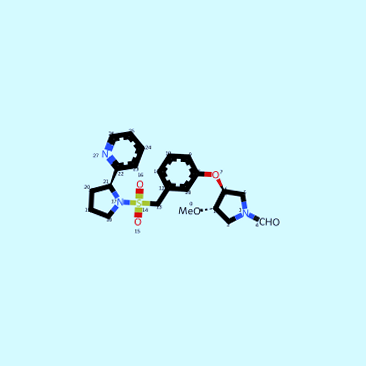 CO[C@H]1CN(C=O)C[C@@H]1Oc1cccc(CS(=O)(=O)N2CCC[C@H]2c2ccccn2)c1